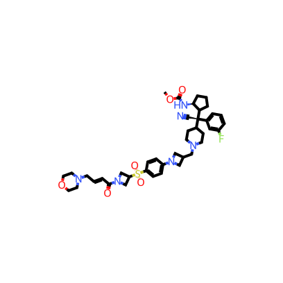 COC(=O)N[C@H]1CCCC1[C@](C#N)(c1cccc(F)c1)C1CCN(CC2CN(c3ccc(S(=O)(=O)C4CN(C(=O)/C=C/CN5CCOCC5)C4)cc3)C2)CC1